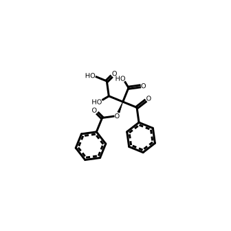 O=C(O[C@@](C(=O)O)(C(=O)c1ccccc1)C(O)C(=O)O)c1ccccc1